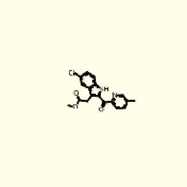 COC(=O)Cc1c(C(=O)c2ccc(C)cn2)[nH]c2ccc(Cl)cc12